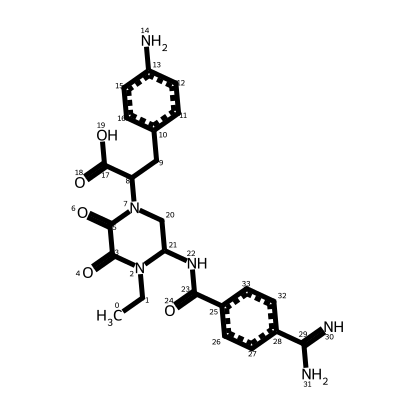 CCN1C(=O)C(=O)N(C(Cc2ccc(N)cc2)C(=O)O)CC1NC(=O)c1ccc(C(=N)N)cc1